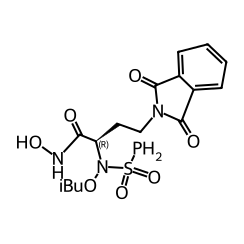 CC(C)CON([C@H](CCN1C(=O)c2ccccc2C1=O)C(=O)NO)S(=O)(=O)P